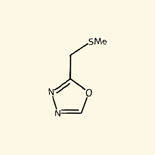 CSCc1nnco1